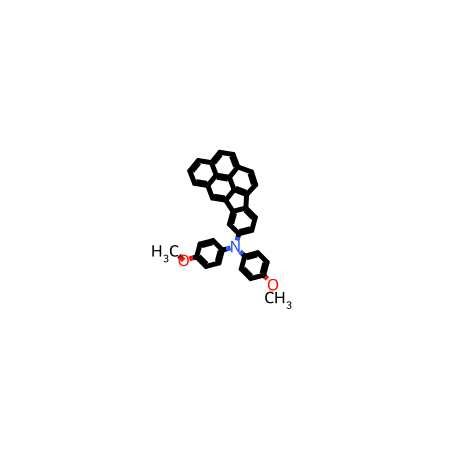 COc1ccc(N(c2ccc(OC)cc2)c2ccc3c(c2)-c2cc4cccc5ccc6ccc-3c2c6c54)cc1